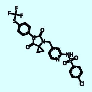 O=C1N(c2ccc(SC(F)(F)F)cc2)C(=O)C2(CC2)N1Cc1ccnc(NS(=O)(=O)c2ccc(Cl)cc2)c1